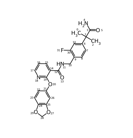 CC(C)(C(N)=O)c1ccc(CNC(=O)c2cccnc2Oc2ccc3c(c2)OCO3)c(F)c1